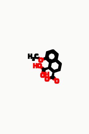 COc1cccc2c1[C@H](C(=O)O)[C@H](C(=O)O)CC2